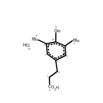 CC(C)(C)c1cc(CCC(=O)O)cc(C(C)(C)C)c1O.Cl